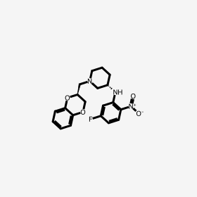 O=[N+]([O-])c1ccc(F)cc1N[C@H]1CCCN(C[C@H]2COc3ccccc3O2)C1